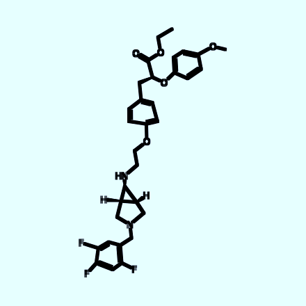 CCOC(=O)[C@H](Cc1ccc(OCCN[C@H]2[C@@H]3CN(Cc4cc(F)c(F)cc4F)C[C@@H]32)cc1)Oc1ccc(OC)cc1